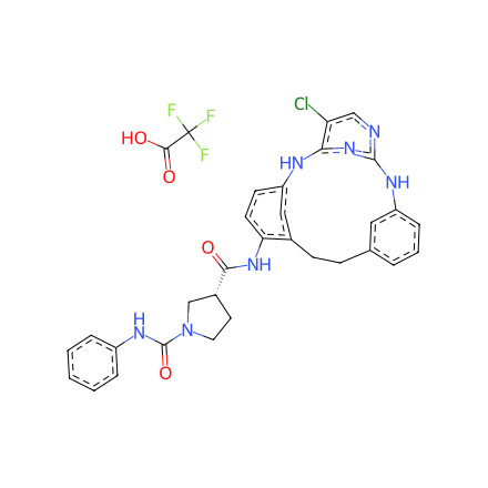 O=C(Nc1ccc2cc1CCc1cccc(c1)Nc1ncc(Cl)c(n1)N2)[C@@H]1CCN(C(=O)Nc2ccccc2)C1.O=C(O)C(F)(F)F